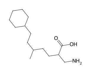 CC(CCC1CCCCC1)CCC(CN)C(=O)O